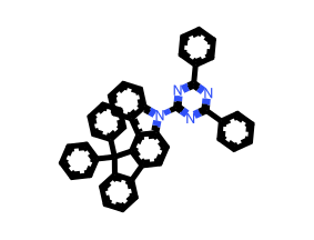 c1ccc(-c2nc(-c3ccccc3)nc(-n3c4ccccc4c4c5c(ccc43)-c3ccccc3C5(c3ccccc3)c3ccccc3)n2)cc1